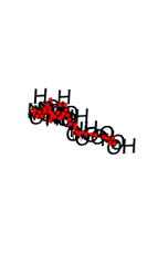 CC[C@H](C)[C@@H]([C@@H](CC(=O)N1CCC[C@H]1[C@H](OC)[C@@H](C)C(=O)N[C@@H](Cc1ccccc1)C(=O)NOCc1ccc(NC(=O)[C@@H](C)NC(=O)CCOCCOCCC(=O)N2CCC(C(=O)O)CC2)cc1)OC)N(C)C(=O)[C@@H](NC(=O)[C@H](C(C)C)N(C)C)C(C)C